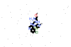 COC/C(N)=C/NCc1nc2cnc3ccc(Cl)cc3c2n1C1CN(C)CC1(F)F